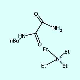 CCCCNC(=O)C(N)=O.CC[N+](CC)(CC)CC